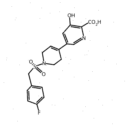 O=C(O)c1ncc(C2=CCN(S(=O)(=O)Cc3ccc(F)cc3)CC2)cc1O